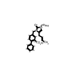 CC=CCc1cn(CCCCC)c(=O)n1Cc1ccc(-c2ccccc2)c(C(=O)O)c1